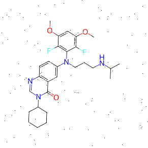 COc1cc(OC)c(F)c(N(CCCNC(C)C)c2ccc3ncn(C4CCCCC4)c(=O)c3c2)c1F